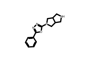 c1ccc(-c2nnc(N3CC4CNCC4C3)o2)cc1